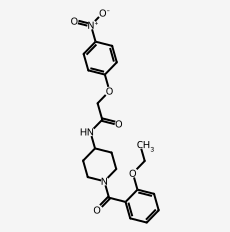 CCOc1ccccc1C(=O)N1CCC(NC(=O)COc2ccc([N+](=O)[O-])cc2)CC1